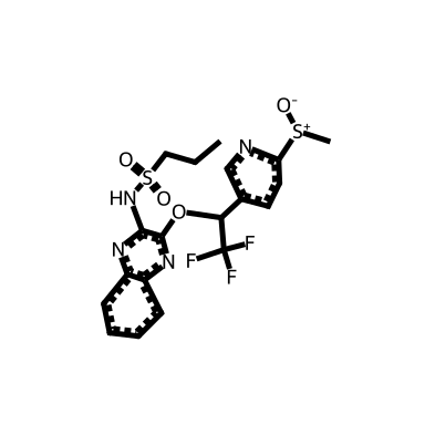 CCCS(=O)(=O)Nc1nc2ccccc2nc1OC(c1ccc([S+](C)[O-])nc1)C(F)(F)F